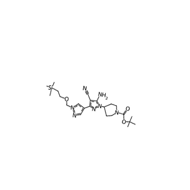 CC(C)(C)OC(=O)N1CCC(n2nc(-c3cnn(COCC[Si](C)(C)C)c3)c(C#N)c2N)CC1